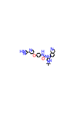 CN1CCc2ccc(-c3nn(C(C)(C)C)cc3NC(=O)Nc3ccc(Oc4ccnc(-c5cn[nH]c5)c4)cc3)cc2C1